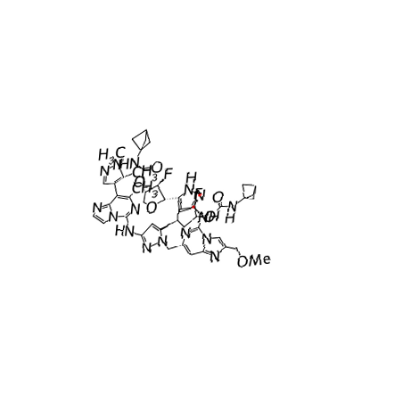 COCc1cn2c(Nc3cc([C@@H]4OC[C@H](OC(=O)NC56CC(C5)C6)[C@H]4F)[nH]n3)nc(Cn3nc(Nc4nc(C)c(-c5cnn(C)c5C)c5nccn45)cc3[C@H]3C[C@@H](F)[C@@H](OC(=O)NC45CC(C4)C5)C3)cc2n1